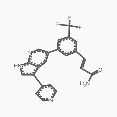 NC(=O)C=Cc1cc(-c2cnc3[nH]cc(-c4ccncc4)c3c2)cc(C(F)(F)F)c1